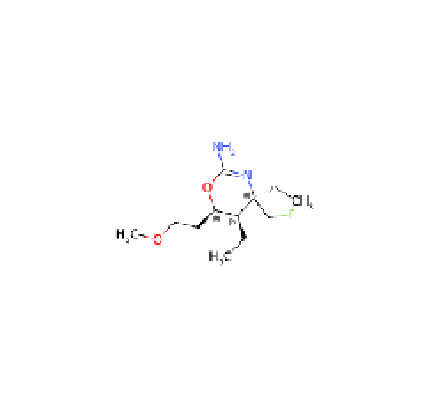 CC[C@H]1[C@@H](CCOC)OC(N)=N[C@@]1(CC)CF